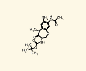 CC(=O)Nc1cc2c(cc1N)N(C)C(=O)[C@@H](NC(=O)OC(C)(C)C)CO2